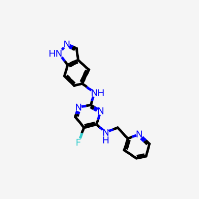 Fc1cnc(Nc2ccc3[nH]ncc3c2)nc1NCc1ccccn1